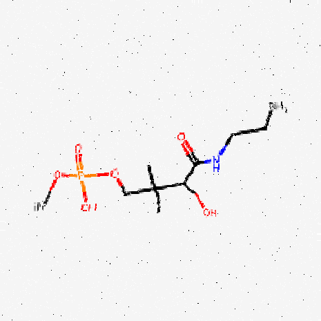 BCCNC(=O)C(O)C(C)(C)COP(=O)(O)OC(C)C